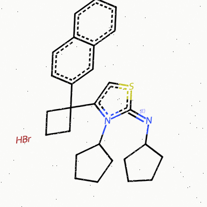 Br.c1ccc2cc(C3(c4cs/c(=N/C5CCCC5)n4C4CCCC4)CCC3)ccc2c1